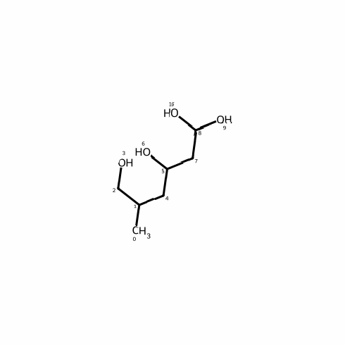 CC(CO)CC(O)CC(O)O